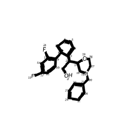 OCC(c1ccccc1-c1ccc(F)cc1F)C1CN(Cc2ccccc2)CCO1